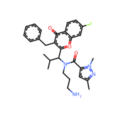 Cc1cc(C(=O)N(CCCN)C(c2oc3cc(F)ccc3c(=O)c2Cc2ccccc2)C(C)C)n(C)n1